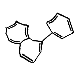 [c]1ccc2c(-c3ccccc3)cccc2c1